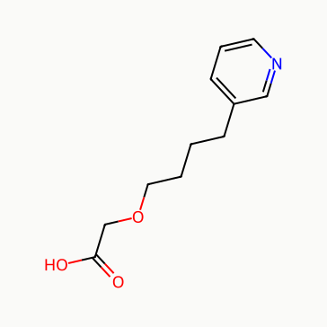 O=C(O)COCCCCc1cccnc1